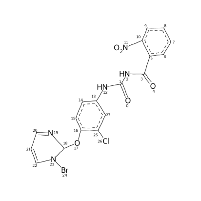 O=C(NC(=O)c1ccccc1[N+](=O)[O-])Nc1ccc(OC2N=CC=CN2Br)c(Cl)c1